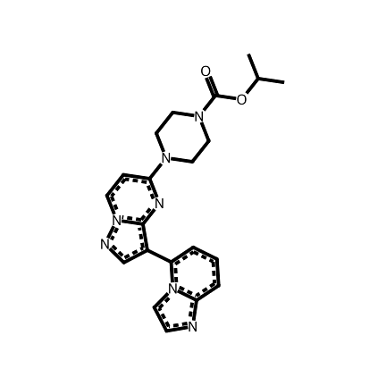 CC(C)OC(=O)N1CCN(c2ccn3ncc(-c4cccc5nccn45)c3n2)CC1